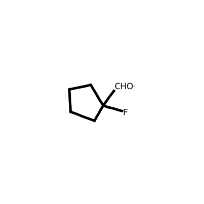 O=[C]C1(F)CCCC1